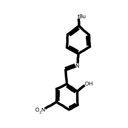 CC(C)(C)c1ccc(N=Cc2cc([N+](=O)[O-])ccc2O)cc1